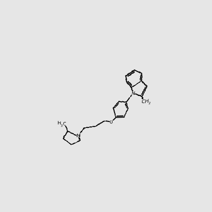 Cc1cc2ccccc2n1-c1ccc(OCCCN2CCCC2C)cc1